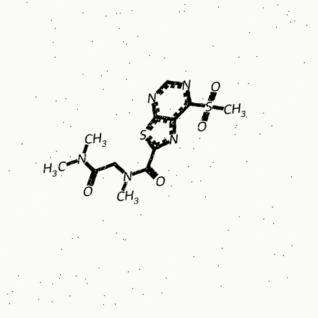 CN(C)C(=O)CN(C)C(=O)c1nc2c(S(C)(=O)=O)ncnc2s1